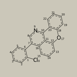 Clc1ccccc1-c1cnc2c3c(cccc13)Oc1ccccc1-2